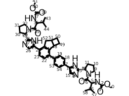 COC(=O)NC(C(=O)N1CCC[C@H]1c1ncc(-c2ccc(-c3ccc(-c4cnc([C@@H]5CCCN5C(=O)C(NC(=O)OC)C(C)C)[nH]4)c4c3C3CCC3C4)cc2)[nH]1)C(C)C